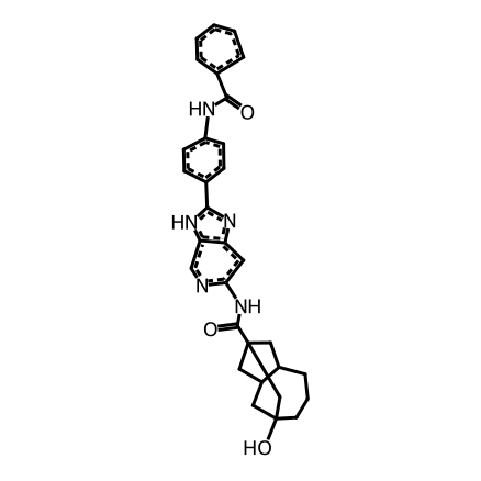 O=C(Nc1ccc(-c2nc3cc(NC(=O)C45CC6CCCC(O)(CC6C4)C5)ncc3[nH]2)cc1)c1ccccc1